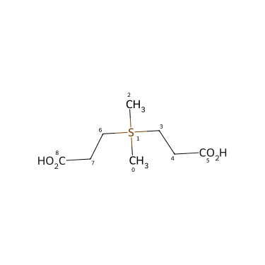 CS(C)(CCC(=O)O)CCC(=O)O